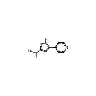 CCNc1cc(-c2ccncc2)[nH]n1